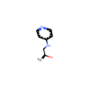 C=C(O)CNc1ccncc1